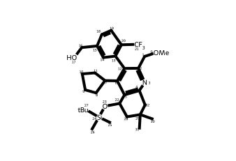 COCc1nc2c(c(C3CCCC3)c1-c1cc(CO)ccc1C(F)(F)F)C(O[Si](C)(C)C(C)(C)C)CC(C)(C)C2